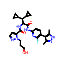 Cc1n[nH]c(C)c1-c1ccc(NC(=O)C(NC(=O)c2ccnn2CCCO)C(C2CC2)C2CC2)nc1F